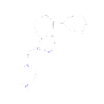 c1ccc(-c2cccc3c2cnn3CN2CCNCC2)cc1